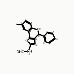 Cc1ccc2c(c1)-c1sc(NC=O)cc1C(c1ccccc1)S2